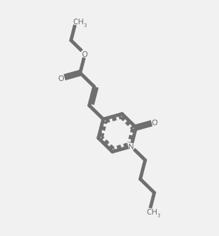 CCCCn1ccc(C=CC(=O)OCC)cc1=O